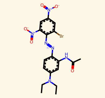 CCN(CC)c1ccc(/N=N/c2c(Br)cc([N+](=O)[O-])cc2[N+](=O)[O-])c(NC(C)=O)c1